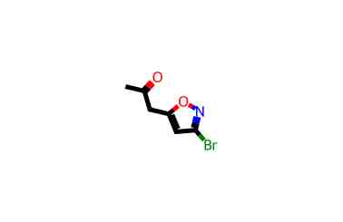 CC(=O)Cc1cc(Br)no1